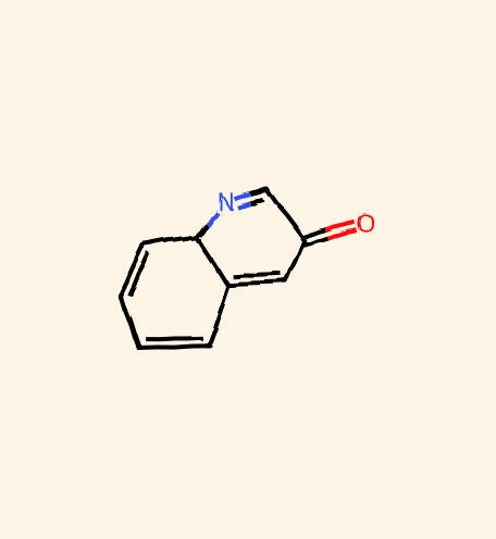 O=C1C=NC2C=CC=CC2=C1